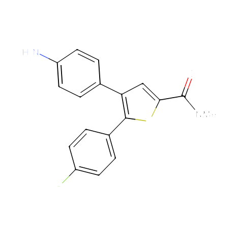 CNC(=O)c1cc(-c2ccc(N)cc2)c(-c2ccc(F)cc2)s1